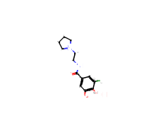 O=C(NCCN1CCCC1)c1cc(O)c(O)c(Cl)c1